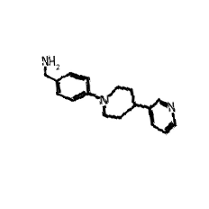 NCc1ccc(N2CCC(c3cccnc3)CC2)cc1